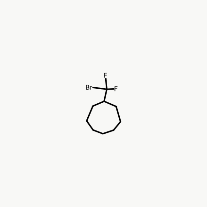 FC(F)(Br)[C]1CCCCCCC1